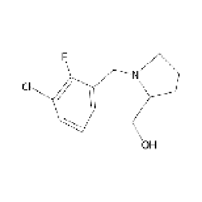 OCC1CCCN1Cc1cccc(Cl)c1F